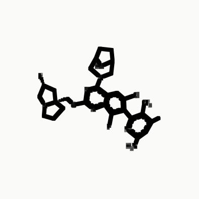 Cc1cc(N)nc(-c2c(Cl)cc3c(N4CC5CCC(C4)N5)nc(OC[C@]45CCCN4C[C@H](F)C5)nc3c2F)c1C(F)(F)F